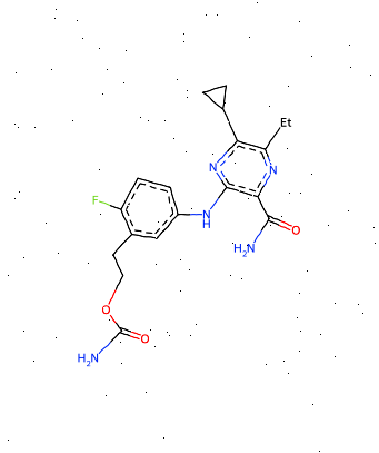 CCc1nc(C(N)=O)c(Nc2ccc(F)c(CCOC(N)=O)c2)nc1C1CC1